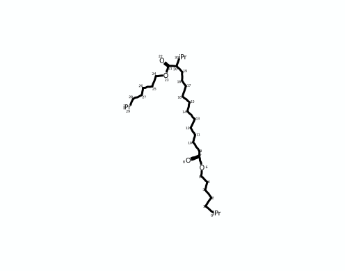 CC(C)CCCCCOC(=O)CCCCCCCCCCCC(C(=O)OCCCCCC(C)C)C(C)C